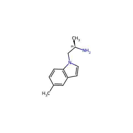 Cc1ccc2c(ccn2C[C@@H](C)N)c1